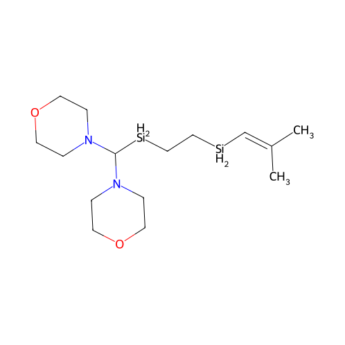 CC(C)=C[SiH2]CC[SiH2]C(N1CCOCC1)N1CCOCC1